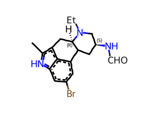 CCN1C[C@@H](NC=O)CC2c3cc(Br)cc4[nH]c(C)c(c34)C[C@H]21